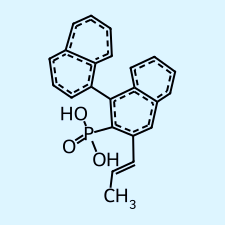 CC=Cc1cc2ccccc2c(-c2cccc3ccccc23)c1P(=O)(O)O